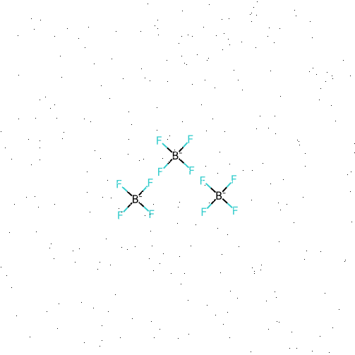 F[B-](F)(F)F.F[B-](F)(F)F.F[B-](F)(F)F